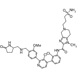 COc1cc(-c2nccc(-c3cccc(NC(=O)c4nc5c(n4C)CCN(CCCS(N)(=O)=O)C5)c3Cl)c2Cl)ccc1CNCC1CCC(=O)N1